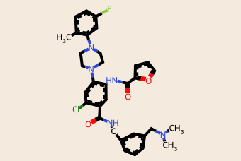 Cc1ccc(F)cc1N1CCN(c2cc(Cl)c(C(=O)NCc3cccc(CN(C)C)c3)cc2NC(=O)c2ccco2)CC1